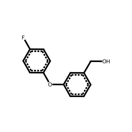 O[CH]c1cccc(Oc2ccc(F)cc2)c1